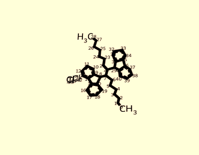 CCCCCCCC(C1c2ccccc2-c2ccccc21)C(CCCCCCC)C1c2ccccc2-c2ccccc21.[Cl-].[Cl-].[Ti+2]